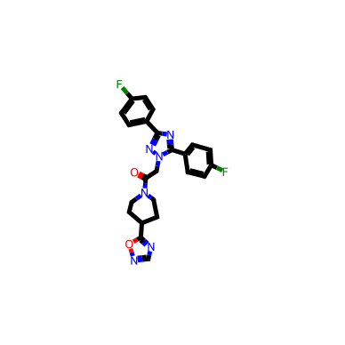 O=C(Cn1nc(-c2ccc(F)cc2)nc1-c1ccc(F)cc1)N1CCC(c2ncno2)CC1